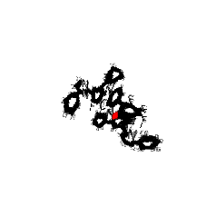 Fc1c(F)c(F)c(-c2ccc(-n3c4ccccc4c4cc(-c5nccc(-c6ccccc6)n5)ccc43)c(C(F)(F)F)c2-n2c3ccccc3c3cc(-c4cccc(-c5ccccc5)n4)ccc32)c(F)c1F